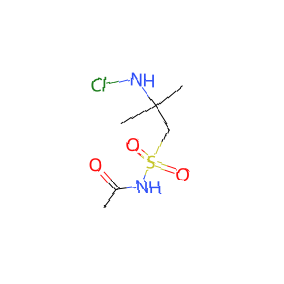 CC(=O)NS(=O)(=O)CC(C)(C)NCl